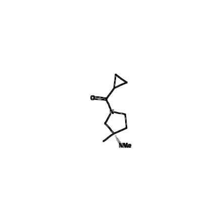 CN[C@@]1(C)CCN(C(=O)C2CC2)C1